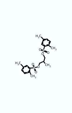 Cc1ccc(C)c(S(=O)(=O)OCC(C)COS(=O)(=O)c2cc(C)ccc2C)c1